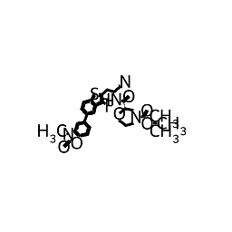 Cn1c(=O)oc2ccc(-c3ccc4sc(CC(C#N)NC(=O)[C@@H]5CN(C(=O)OC(C)(C)C)CCCO5)c(F)c4c3)cc21